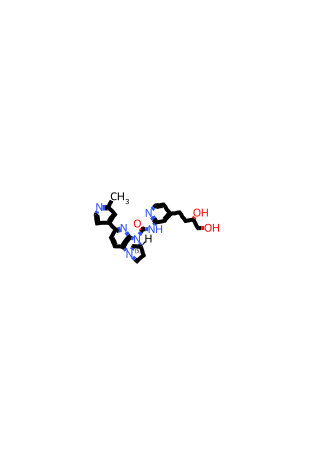 Cc1cc(-c2ccc3c(n2)N(C(=O)Nc2cc(CCC(O)CO)ccn2)[C@H]2CCN3C2)ccn1